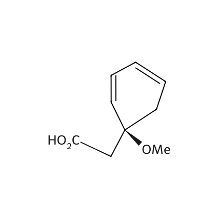 CO[C@@]1(CC(=O)O)C=CC=CC1